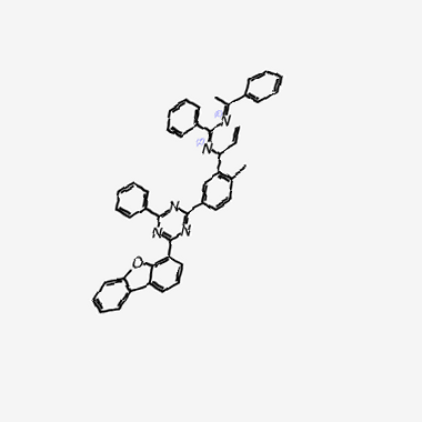 C=CC(/N=C(\N=C(/C)c1ccccc1)c1ccccc1)c1cc(-c2nc(-c3ccccc3)nc(-c3cccc4c3oc3ccccc34)n2)ccc1C